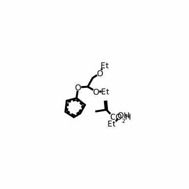 C=C(C)C(=O)O.CCO.CCOCC(OCC)Oc1ccccc1